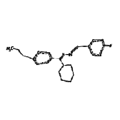 CCCc1ccc(C(=NN=Cc2ccc(F)cc2)C2CCCCC2)cc1